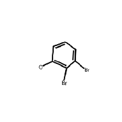 [O]c1cccc(Br)c1Br